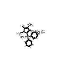 CC1=[C]([Ti+3])C(C)C([Si](C)(c2ccccc2)c2ccccc2)=C1C.[Cl-].[Cl-].[Cl-]